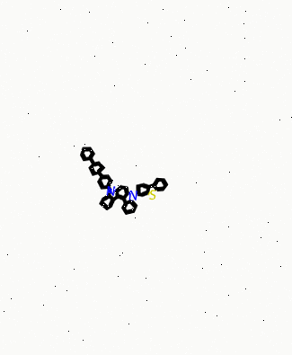 c1ccc(-c2ccc(-c3ccc(-n4c5ccccc5c5c6c7ccccc7n(-c7ccc8c(c7)sc7ccccc78)c6ccc54)cc3)cc2)cc1